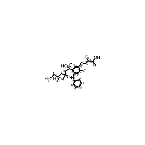 CCCCC1(CC)CN(c2ccccc2)c2cc(F)c(O/C=C(\F)C(=O)O)cc2S(O)(O)C1